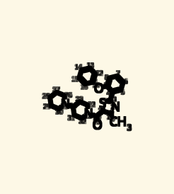 CC1N=C(c2ccccc2Oc2ccccc2)SC1C(=O)N1CCC(N2CCCCC2)CC1